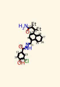 CCC(C(N)=O)=C(CC)c1ccc(C=NNC(=O)c2ccc(O)c(Cl)c2)c2ccccc12